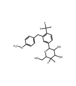 COc1ccc(Cc2cc(C3OC(CO)C(F)(F)C(O)C3O)ccc2C(F)(F)F)cc1